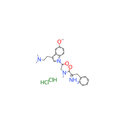 COc1ccc2c(c1)c(CCN(C)C)cn2C(=O)CN(C)C(=O)[C@@H](N)Cc1ccccc1.Cl.Cl